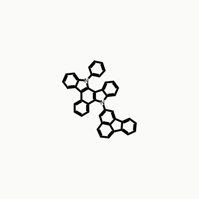 c1ccc(-n2c3ccccc3c3c4ccccc4c4c(c5ccccc5n4-c4cc5c6c(cccc6c4)-c4ccccc4-5)c32)cc1